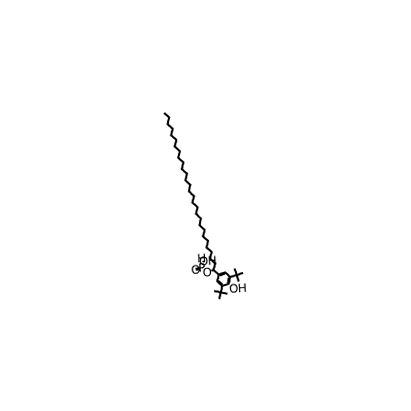 CCCCCCCCCCCCCCCCCCCCCCCCCCCCC(O[PH](=O)O)c1cc(C(C)(C)C)c(O)c(C(C)(C)C)c1